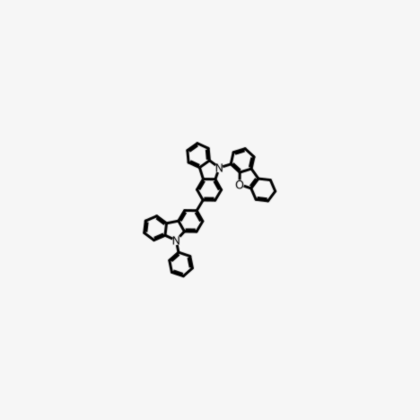 C1=Cc2oc3c(-n4c5ccccc5c5cc(-c6ccc7c(c6)c6ccccc6n7-c6ccccc6)ccc54)cccc3c2CC1